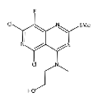 CSc1nc(N(C)CCO)c2c(Cl)nc(Cl)c(F)c2n1